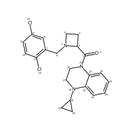 O=C(C1CCN1Cc1cc(Cl)ccc1Cl)N1CCN(C2CC2)c2ccccc21